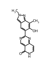 Cc1c(O)c(-c2ncc3c(=O)[nH]ccc3n2)cc2cn(C)nc12